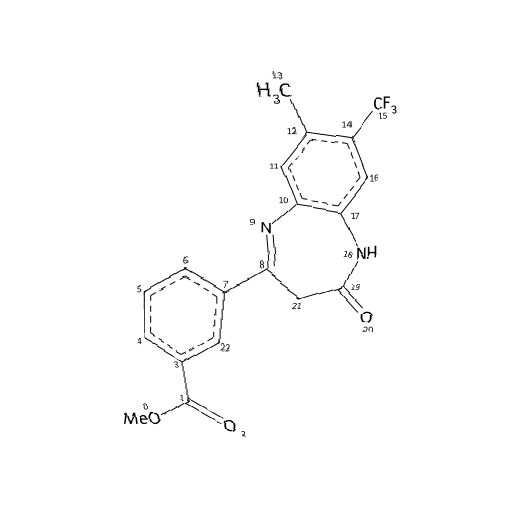 COC(=O)c1cccc(C2=Nc3cc(C)c(C(F)(F)F)cc3NC(=O)C2)c1